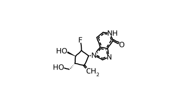 C=C1[C@@H](n2cnc3c(=O)[nH]ccc32)C(F)[C@H](O)[C@H]1CO